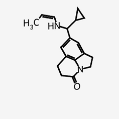 C/C=C\NC(c1cc2c3c(c1)CCN3C(=O)CC2)C1CC1